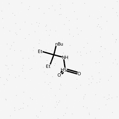 CCCCC(CC)(CC)N[SH](=O)=O